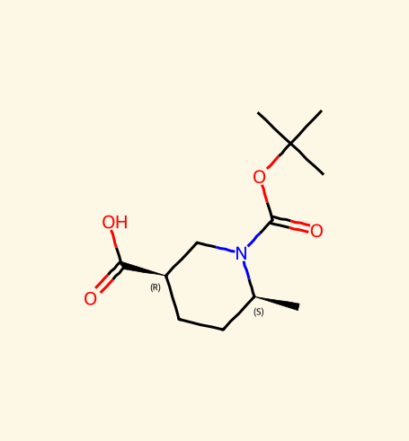 C[C@H]1CC[C@@H](C(=O)O)CN1C(=O)OC(C)(C)C